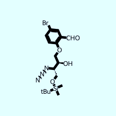 CC(C)(C)[Si](C)(C)OC[C@H](N=[N+]=[N-])[C@H](O)COc1ccc(Br)cc1C=O